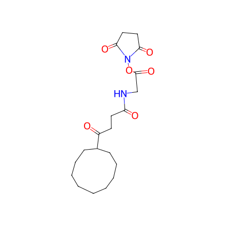 O=C(CCC(=O)C1CCCCCCCCC1)NCC(=O)ON1C(=O)CCC1=O